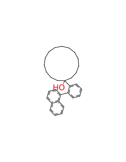 OC1(c2ccccc2-c2cccc3ccccc23)CCCCCCCCCCCCCC1